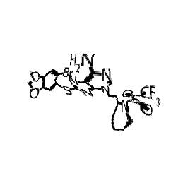 Nc1ncn(CCC2CCCCN2S(=O)(=O)C(F)(F)F)c2nc(Sc3cc4c(cc3Br)OCO4)nc1-2